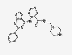 O=C(NCCN1CCNCC1)c1cnccc1Nc1nc(-c2ccccn2)nn2cccc12